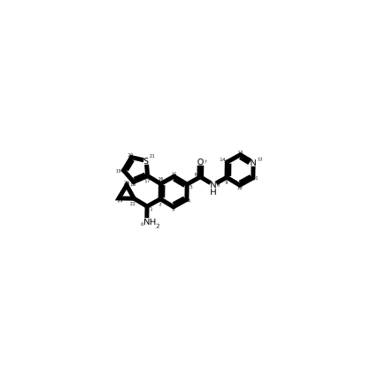 NC(c1ccc(C(=O)Nc2ccncc2)cc1-c1cccs1)C1CC1